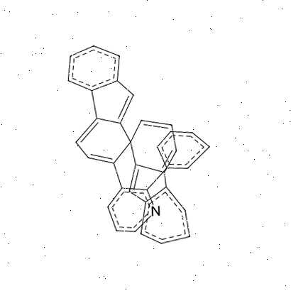 C1=CC2(C3=Cc4ccccc4C3=C1)C1=Cc3ccccc3C1=CC=C2c1cccnc1-c1ccccc1